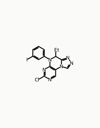 CCC1c2nncn2-c2cnc(Cl)nc2N1c1cccc(I)c1